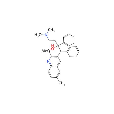 COc1nc2ccc(C)cc2cc1C(c1ccccc1)C(O)(CCN(C)C)c1ccccc1